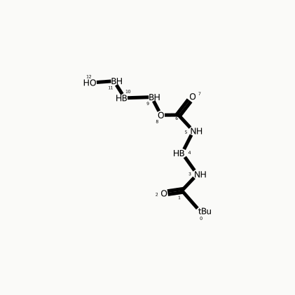 CC(C)(C)C(=O)NBNC(=O)OBBBO